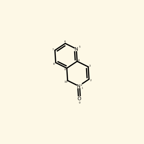 O=[N+]1C=Cc2ncccc2C1